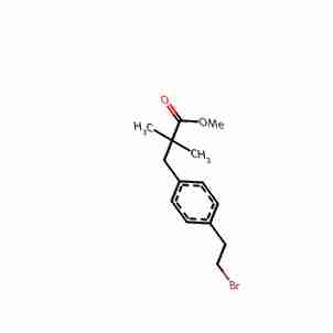 COC(=O)C(C)(C)Cc1ccc(CCBr)cc1